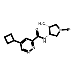 CC(C)N1C[C@@H](C)[C@@H](NC(=O)c2cc(C3CCC3)cnn2)C1